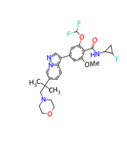 COc1cc(-c2cnn3cc(C(C)(C)CN4CCOCC4)ccc23)cc(OC(F)F)c1C(=O)NC1CC1F